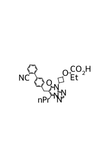 CCCc1c(Cc2ccc(-c3ccccc3C#N)cc2)c(=O)n([C@H]2C[C@@H](OC(CC)C(=O)O)C2)c2ncnn12